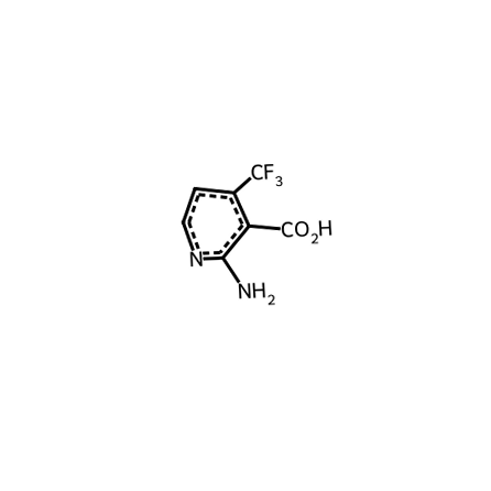 Nc1nccc(C(F)(F)F)c1C(=O)O